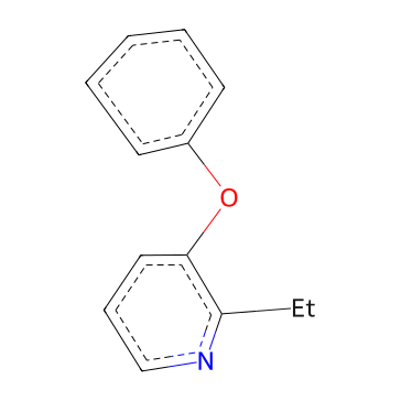 [CH2]Cc1ncccc1Oc1ccccc1